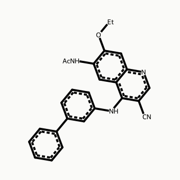 CCOc1cc2ncc(C#N)c(Nc3cccc(-c4ccccc4)c3)c2cc1NC(C)=O